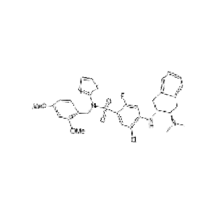 COc1ccc(CN(c2nccs2)S(=O)(=O)c2cc(Cl)c(N[C@@H]3Cc4ccccc4C[C@H]3N(C)C)cc2F)c(OC)c1